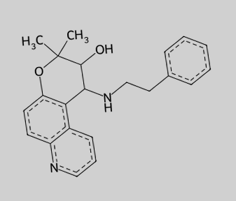 CC1(C)Oc2ccc3ncccc3c2C(NCCc2ccccc2)C1O